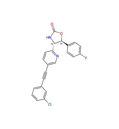 O=C1N[C@@H](c2ccc(C#Cc3cccc(Cl)c3)cn2)[C@H](c2ccc(F)cc2)O1